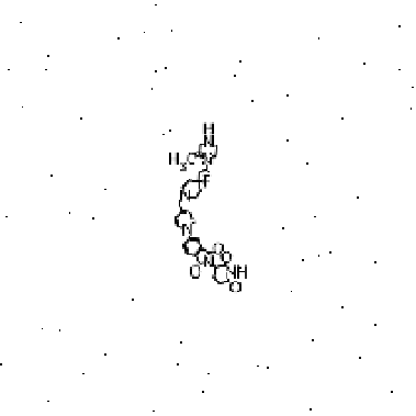 C[C@H]1CNCCN1CCC1(F)CCN(CC2CCN(c3ccc4c(c3)C(=O)N(C3CCC(=O)NC3=O)C4=O)CC2)CC1